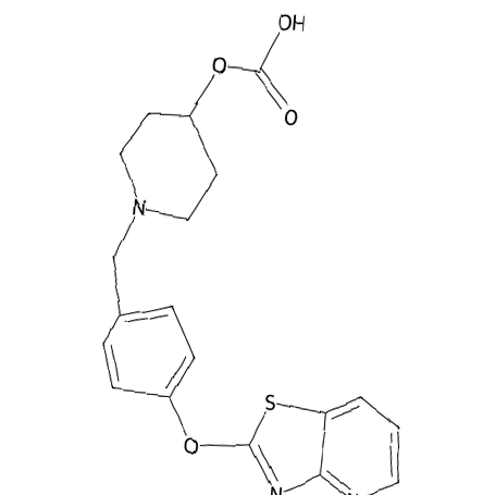 O=C(O)OC1CCN(Cc2ccc(Oc3nc4ncccc4s3)cc2)CC1